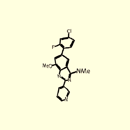 CNc1nc(-c2cccnc2)nc2c(OC)cc(-c3ccc(Cl)cc3F)cc12